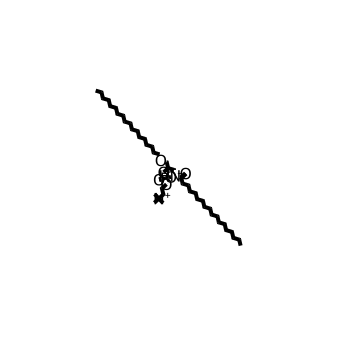 CCCCCCCCCCCCCCCCCCOCC(CNC(=O)CCCCCCCCCCCCCCCCC)OP(=O)([O-])OCC[N+](C)(C)C